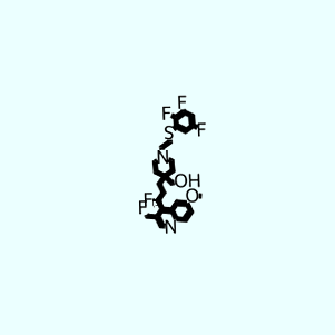 COc1ccc2ncc(CF)c([C@@H](F)CCC3(CO)CCN(CCSc4cc(F)cc(F)c4F)CC3)c2c1